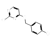 Clc1ccc(COc2ccnc(Cl)n2)cc1